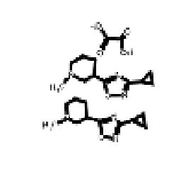 CN1CCCC(c2nc(C3CC3)no2)C1.CN1CCCC(c2nc(C3CC3)no2)C1.O=C(O)C(=O)O